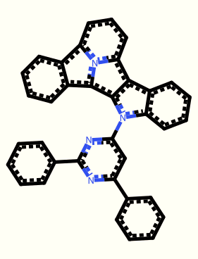 c1ccc(-c2cc(-n3c4ccccc4c4c3c3c5ccccc5c5cccc4n53)nc(-c3ccccc3)n2)cc1